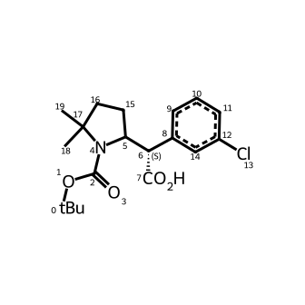 CC(C)(C)OC(=O)N1C([C@@H](C(=O)O)c2cccc(Cl)c2)CCC1(C)C